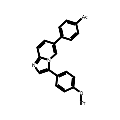 CC(=O)c1ccc(-c2ccc3ncc(-c4ccc(OC(C)C)cc4)n3c2)cc1